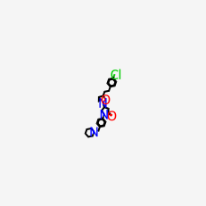 O=C1CC(N2C=CC(CCc3ccc(Cl)cc3)O2)CN1c1ccc(CN2CCCCC2)cc1